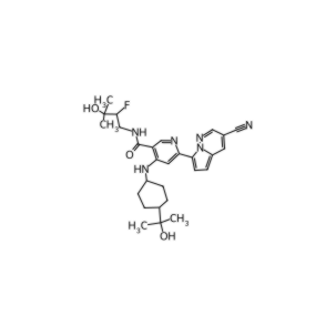 CC(C)(O)C(F)CNC(=O)c1cnc(-c2ccc3cc(C#N)cnn23)cc1NC1CCC(C(C)(C)O)CC1